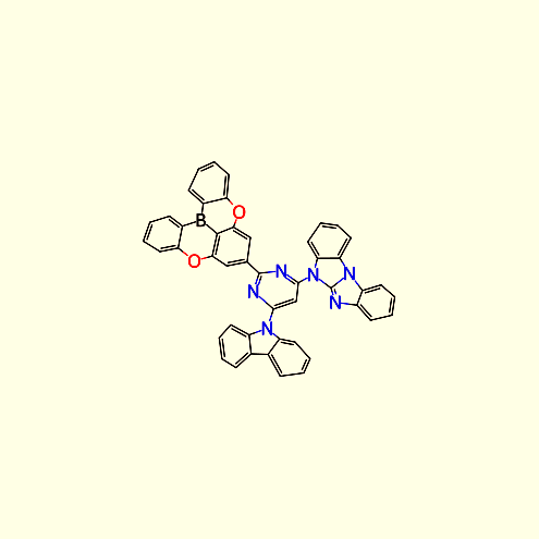 c1ccc2c(c1)Oc1cc(-c3nc(-n4c5ccccc5c5ccccc54)cc(-n4c5ccccc5n5c6ccccc6nc45)n3)cc3c1B2c1ccccc1O3